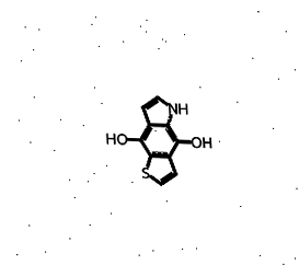 Oc1c2ccsc2c(O)c2cc[nH]c12